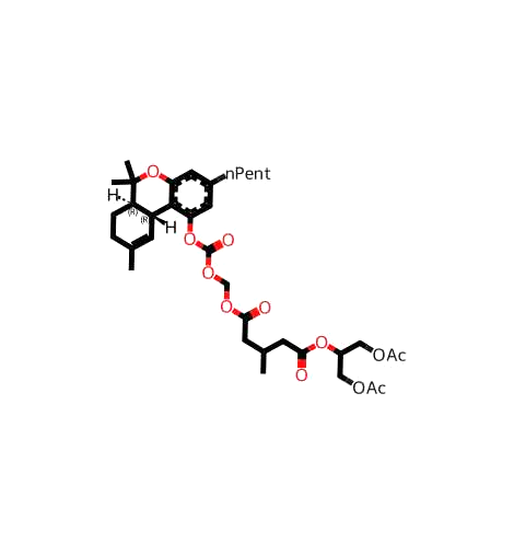 CCCCCc1cc(OC(=O)OCOC(=O)CC(C)CC(=O)OC(COC(C)=O)COC(C)=O)c2c(c1)OC(C)(C)[C@@H]1CCC(C)=C[C@@H]21